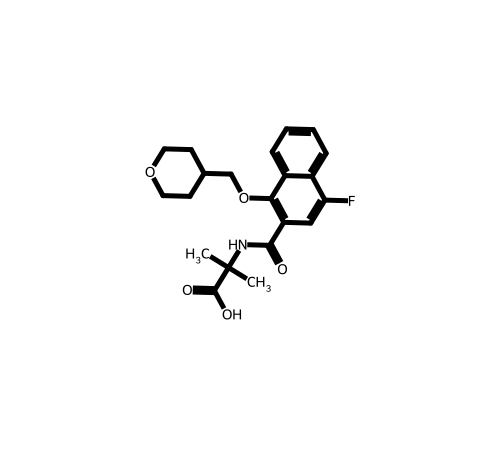 CC(C)(NC(=O)c1cc(F)c2ccccc2c1OCC1CCOCC1)C(=O)O